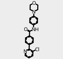 O=C(Nc1ccc(N2CCOCC2)cc1)c1ccc(-c2ncccc2Cl)cc1